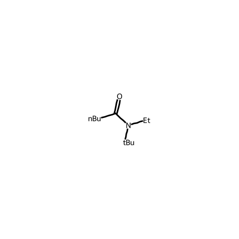 CCCCC(=O)N(CC)C(C)(C)C